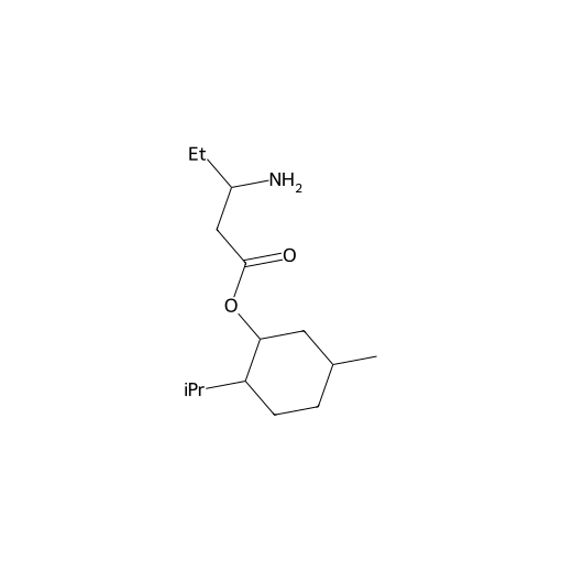 CCC(N)CC(=O)OC1CC(C)CCC1C(C)C